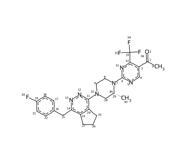 CC(=O)c1cnc(N2CCN(c3nnc(Cc4ccc(F)cc4)c4c3CCC4)C[C@H]2C)nc1C(F)(F)F